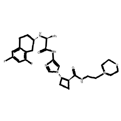 CCC[C@H](N[C@H]1CCc2cc(F)cc(F)c2C1)C(=O)Nc1cn([C@H]2CC[C@@H]2C(=O)NCCN2CCOCC2)cn1